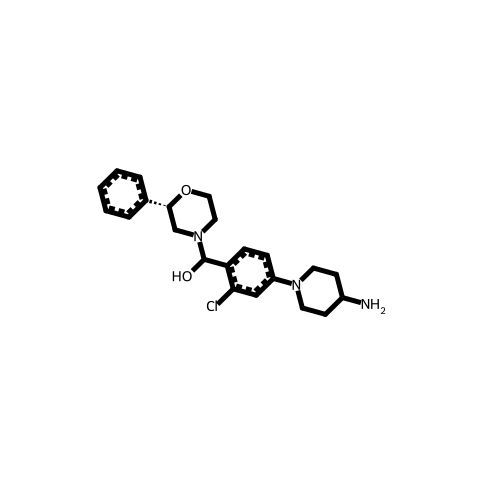 NC1CCN(c2ccc(C(O)N3CCO[C@@H](c4ccccc4)C3)c(Cl)c2)CC1